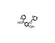 Oc1ccc(C(O)c2ccccn2)cc1OCc1ccccn1